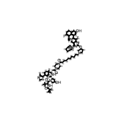 C#Cc1c(F)ccc2cc(O)cc(-c3ncc4c(N5CC6CCC(C5)N6)nc(OC5CCN(CCCCCCCCCC(=O)N6CCN(C(=O)C[C@H](NC(=O)[C@@H]7CC(O)CN7C(=O)[C@@H](NC(=O)C7(F)CC7)C(C)(C)C)C7(C)C=CC(c8scnc8C)=CC7)CC6)C5)nc4c3F)c12